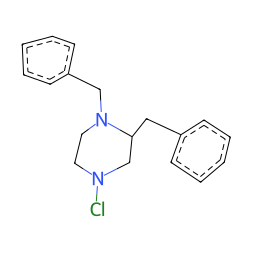 ClN1CCN(Cc2ccccc2)C(Cc2ccccc2)C1